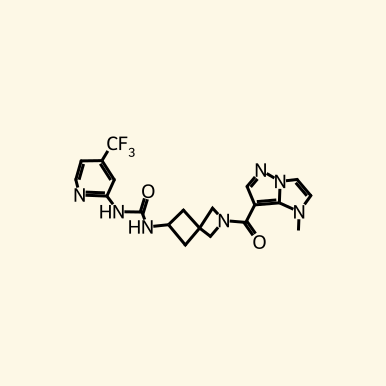 Cn1ccn2ncc(C(=O)N3CC4(CC(NC(=O)Nc5cc(C(F)(F)F)ccn5)C4)C3)c12